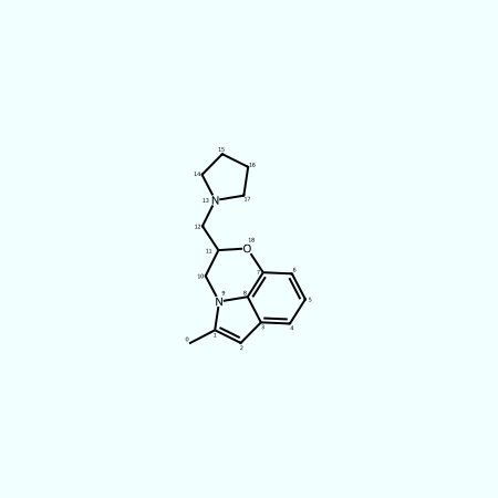 Cc1cc2cccc3c2n1CC(CN1CCCC1)O3